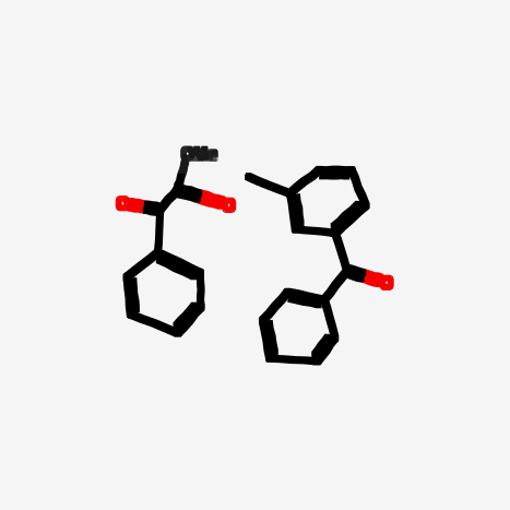 COC(=O)C(=O)c1ccccc1.Cc1cccc(C(=O)c2ccccc2)c1